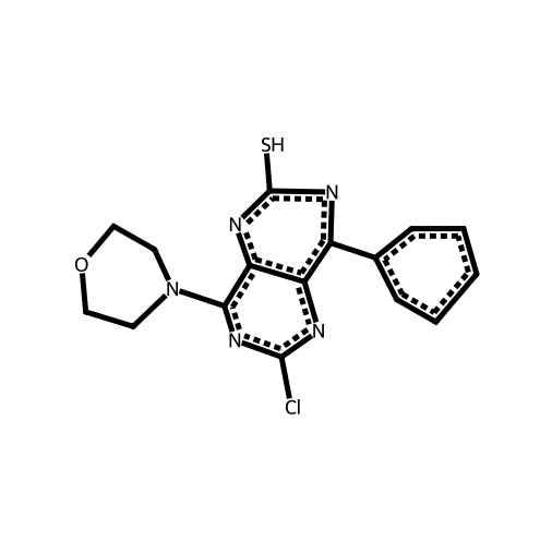 Sc1nc(-c2ccccc2)c2nc(Cl)nc(N3CCOCC3)c2n1